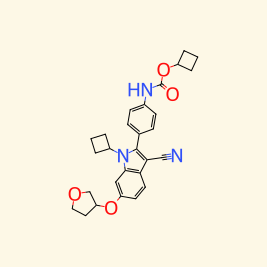 N#Cc1c(-c2ccc(NC(=O)OC3CCC3)cc2)n(C2CCC2)c2cc(OC3CCOC3)ccc12